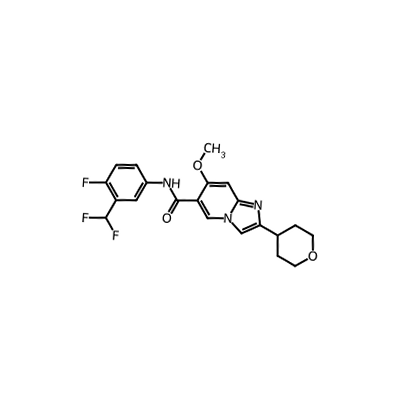 COc1cc2nc(C3CCOCC3)cn2cc1C(=O)Nc1ccc(F)c(C(F)F)c1